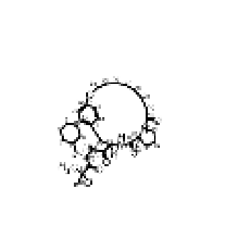 C[C@]1(C(=O)[C@H](CC2CCCCC2)NC(=O)[C@@H]2Cc3ccc(cc3)OCCCCCCCC(=O)N3CCC[C@H]3C(=O)N2)CO1